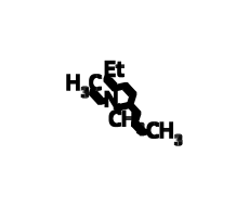 C/C=C\CC(/C=C\C=C/CC)/C(C)=N/C=C\C